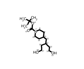 CC(C)(C)OC(=O)N1CCC(CC(CCO)CCO)CC1